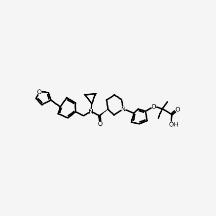 CC(C)(Oc1cccc(N2CCC[C@H](C(=O)N(Cc3ccc(-c4ccoc4)cc3)C3CC3)C2)c1)C(=O)O